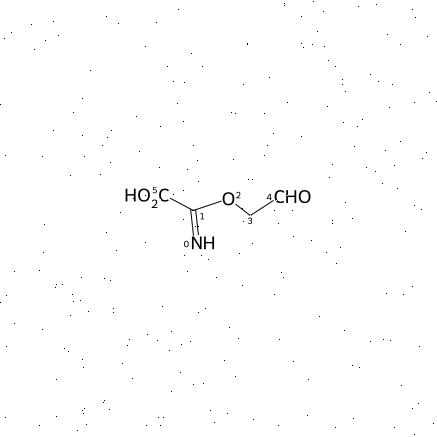 N=C(OCC=O)C(=O)O